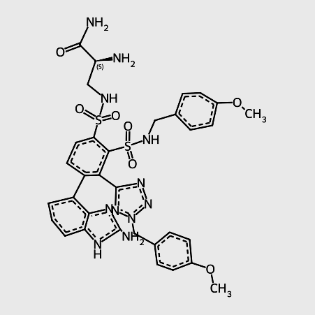 COc1ccc(CNS(=O)(=O)c2c(S(=O)(=O)NC[C@H](N)C(N)=O)ccc(-c3cccc4[nH]c(N)nc34)c2-c2nnn(Cc3ccc(OC)cc3)n2)cc1